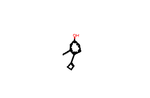 Cc1cc(O)ccc1C1CCC1